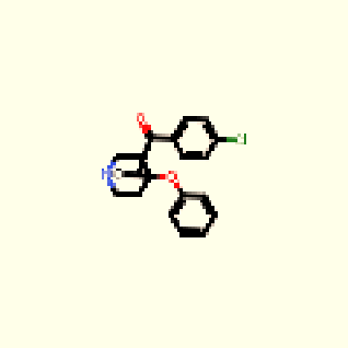 O=C(c1ccc(Cl)cc1)C1CN2CCC1(Oc1ccccc1)CC2